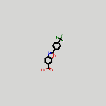 O=C(O)c1ccc2nc(-c3ccc(C(F)(F)F)cc3)oc2c1